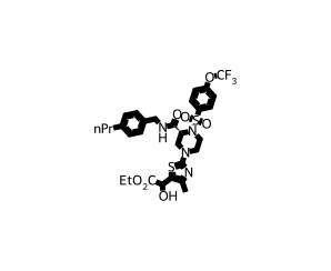 CCCc1ccc(CNC(=O)[C@H]2CN(c3nc(C)c(C(O)C(=O)OCC)s3)CCN2S(=O)(=O)c2ccc(OC(F)(F)F)cc2)cc1